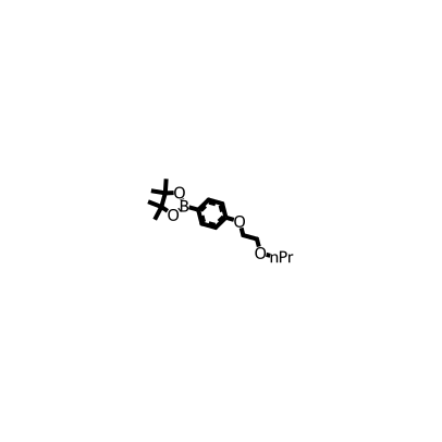 CCCOCCOc1ccc(B2OC(C)(C)C(C)(C)O2)cc1